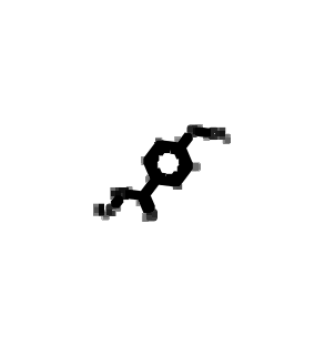 CNC(=O)c1c[c]c(OC)cc1